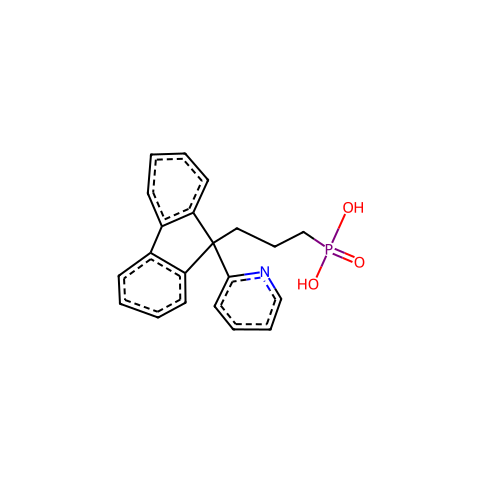 O=P(O)(O)CCCC1(c2ccccn2)c2ccccc2-c2ccccc21